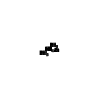 B.[BiH3].[SiH4].[Zn]